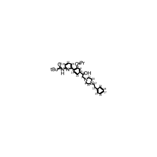 CC(C)Oc1cc(C(O)CN2CCN(CCc3ccccc3)CC2)ccc1-c1cccc(NC(=O)C(C)(C)C)n1